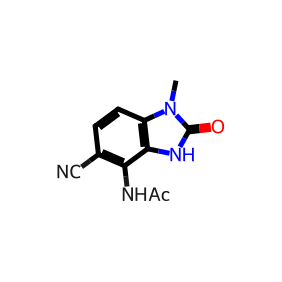 CC(=O)Nc1c(C#N)ccc2c1[nH]c(=O)n2C